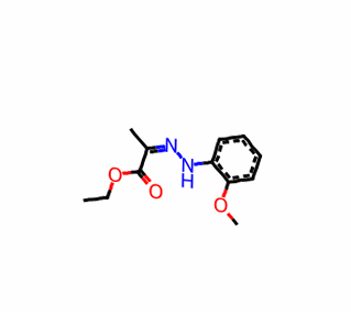 CCOC(=O)C(C)=NNc1ccccc1OC